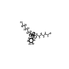 CCCCCCCOP(=O)(OCCCCCCC)c1ccccc1